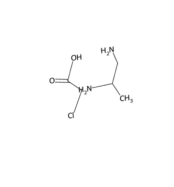 CC(N)CN.O=C(O)CCl